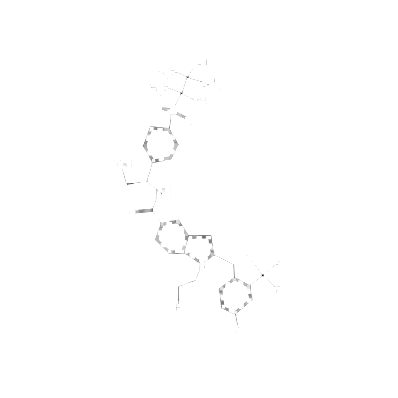 BC(B)(B)C(B)(B)S(=O)(=O)c1ccc([C@H](CO)NC(=O)c2ccc3c(c2)cc(Cc2ccc(Cl)cc2C(F)(F)F)n3CCF)cc1